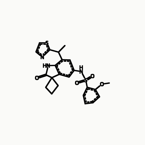 COc1ccccc1S(=O)(=O)Nc1cc(C(C)c2nccs2)c2c(c1)C1(CCC1)C(=O)N2